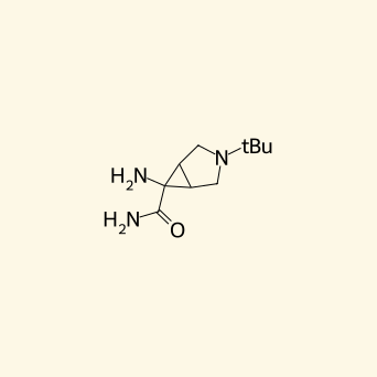 CC(C)(C)N1CC2C(C1)C2(N)C(N)=O